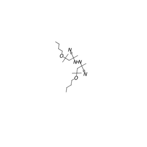 CCCCOC(C)(C)CC(C)(C#N)N=NC(C)(C#N)CC(C)(C)OCCCC